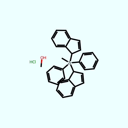 CO.Cl.[CH3][Zr]([c]1ccccc1)([c]1ccccc1)([CH]1C=Cc2ccccc21)[CH]1C=Cc2ccccc21